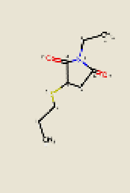 CCCSC1CC(=O)N(CC)C1=O